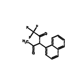 CC(=O)C(C(=O)C(F)(F)F)c1cccc2ccccc12